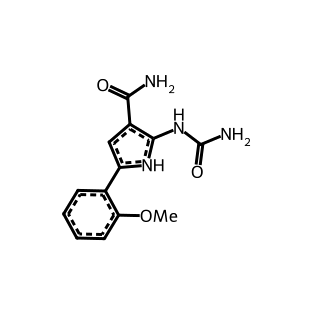 COc1ccccc1-c1cc(C(N)=O)c(NC(N)=O)[nH]1